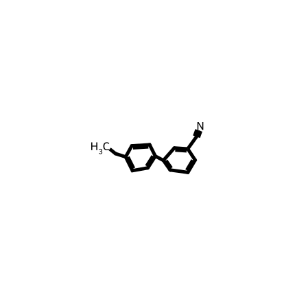 CCc1ccc(-c2cccc(C#N)c2)cc1